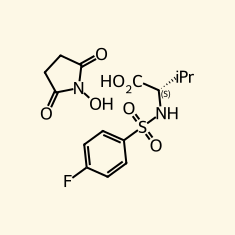 CC(C)[C@H](NS(=O)(=O)c1ccc(F)cc1)C(=O)O.O=C1CCC(=O)N1O